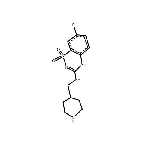 O=S1(=O)N=C(NCC2CCNCC2)Nc2ccc(F)cc21